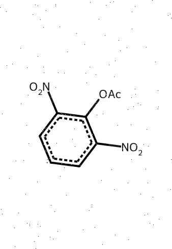 CC(=O)Oc1c([N+](=O)[O-])c[c]cc1[N+](=O)[O-]